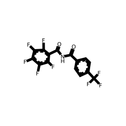 O=C(NC(=O)c1c(F)c(F)c(F)c(F)c1F)c1ccc(C(F)(F)F)cc1